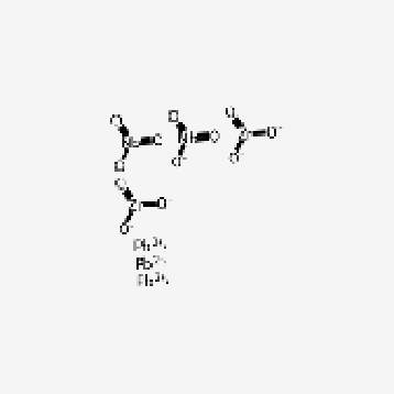 [O]=[Nb](=[O])[O-].[O]=[Nb](=[O])[O-].[O]=[Zr]([O-])[O-].[O]=[Zr]([O-])[O-].[Pb+2].[Pb+2].[Pb+2]